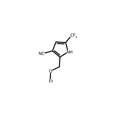 CCOCc1[nH]c(C(F)(F)F)cc1C#N